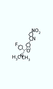 CN(C)CCC(c1ccc(F)cc1)C1OCc2cc(-c3cnc4cc([N+](=O)[O-])ccc4c3)ccc21